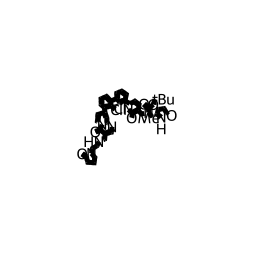 COc1nc(-c2cccc(-c3cccc(-c4ccn5c(=O)c(CNCCN6CCCC6=O)cnc5c4)c3Cl)c2Cl)ccc1CN(C[C@@H]1CCC(=O)N1)C(=O)OC(C)(C)C